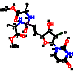 CCCCOC(=O)[C@H](C)NP(=O)(/C=C/[C@H]1O[C@@H](n2ccc(=O)[nH]c2=O)[C@H](F)[C@@H]1O)N[C@@H](C)C(=O)OCCCC